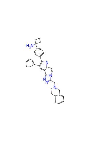 NC1(c2ccc(-c3nc4ccn5c(CN6CCc7ccccc7C6)nnc5c4cc3-c3ccccc3)cc2)CCC1